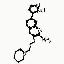 Nc1nc2cc(-c3ccn[nH]3)ccc2cc1CCCN1CCCCC1